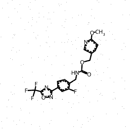 COc1ccc(COC(=O)NCc2ccc(-c3noc(C(F)(F)F)n3)cc2F)cn1